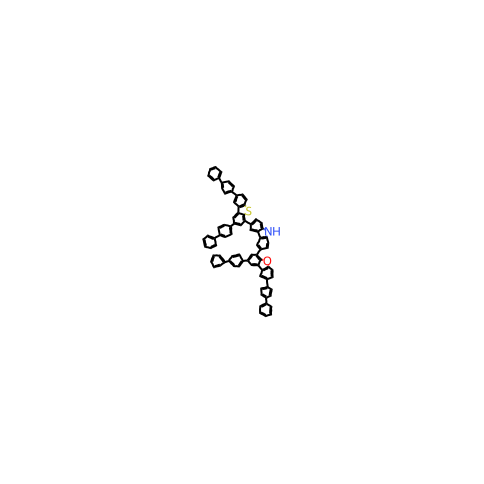 c1ccc(-c2ccc(-c3ccc4oc5c(-c6ccc7[nH]c8ccc(-c9cc(-c%10ccc(-c%11ccccc%11)cc%10)cc%10c9sc9ccc(-c%11ccc(-c%12ccccc%12)cc%11)cc9%10)cc8c7c6)cc(-c6ccc(-c7ccccc7)cc6)cc5c4c3)cc2)cc1